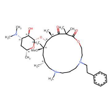 CO[C@]1(C)C[C@@H](C)CN(C)CCCN(CCc2ccccc2)CCOC(=O)C(C)(C)C(=O)[C@H](C)[C@H]1O[C@@H]1O[C@H](C)C[C@H](N(C)C)[C@H]1O